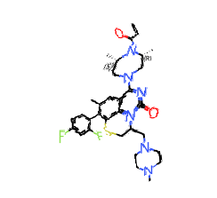 C=CC(=O)N1[C@H](C)CN(c2nc(=O)n3c4c(c(-c5ccc(F)cc5F)c(C)cc24)SCC3CN2CCN(C)CC2)C[C@@H]1C